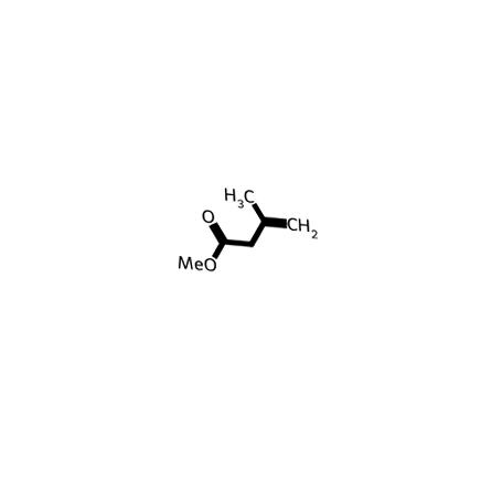 C=C(C)CC(=O)OC